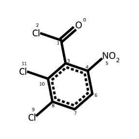 O=C(Cl)c1c([N+](=O)[O-])ccc(Cl)c1Cl